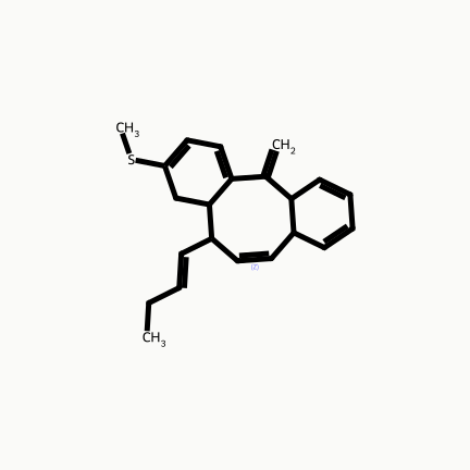 C=C1C2=CC=C(SC)CC2C(C=CCC)/C=C\C2C=CC=CC12